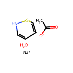 C1=CNSC=C1.CC(=O)[O-].O.[Na+]